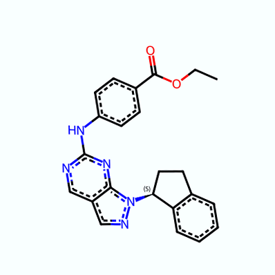 CCOC(=O)c1ccc(Nc2ncc3cnn([C@H]4CCc5ccccc54)c3n2)cc1